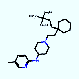 CCOC(=O)C(CCC1(CCN2CCC(Nc3ccc(C)cn3)CC2)CCCCC1)(C(=O)OCC)C(=O)OCC